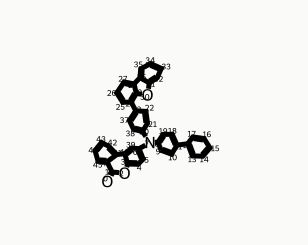 O=c1oc2ccc(N(c3ccc(-c4ccccc4)cc3)c3ccc(-c4cccc5c4oc4ccccc45)cc3)cc2c2ccccc12